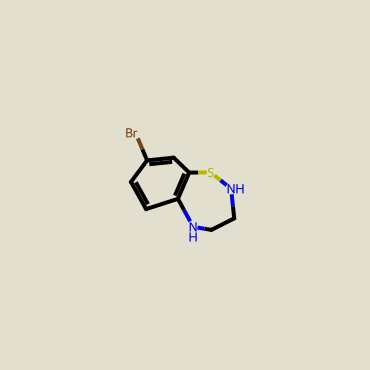 Brc1ccc2c(c1)SNCCN2